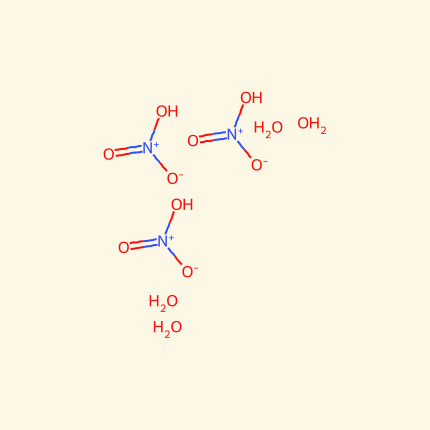 O.O.O.O.O=[N+]([O-])O.O=[N+]([O-])O.O=[N+]([O-])O